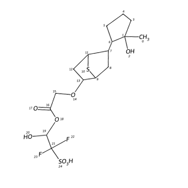 CC1(O)CCCC1C1CC2SC1CC2OCC(=O)OC(O)C(F)(F)S(=O)(=O)O